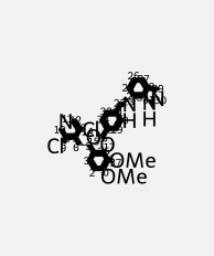 COc1ccc([C@H](Cc2c(Cl)cncc2Cl)OC(=O)c2ccc(CNc3cccc4cn[nH]c34)cc2)cc1OC